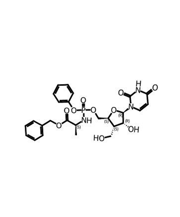 C[C@H](NP(=O)(OC[C@H]1O[C@@H](n2ccc(=O)[nH]c2=O)[C@H](O)[C@@H]1CO)Oc1ccccc1)C(=O)OCc1ccccc1